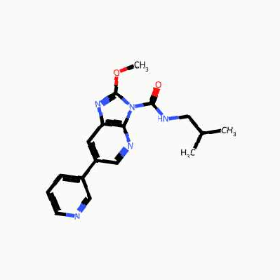 COc1nc2cc(-c3cccnc3)cnc2n1C(=O)NCC(C)C